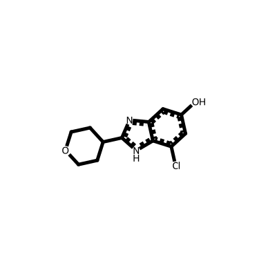 Oc1cc(Cl)c2[nH]c(C3CCOCC3)nc2c1